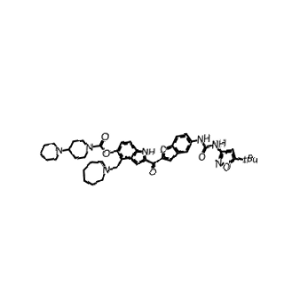 CC(C)(C)c1cc(NC(=O)Nc2ccc3oc(C(=O)c4cc5c(CN6CCCCCC6)c(OC(=O)N6CCC(N7CCCCC7)CC6)ccc5[nH]4)cc3c2)no1